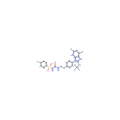 Cc1ccc(S(=O)(=O)NC(=O)NCCc2ccc(-n3c(CC(C)(C)C)nc4c(C)cc(C)nc43)cc2)cc1